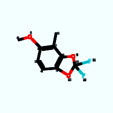 COc1ccc2c(c1C)OC(F)(F)O2